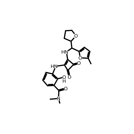 Cc1ccc(C(Nc2c(Nc3cccc(C(=O)N(C)C)c3O)c(=O)c2=O)C2CCCO2)o1